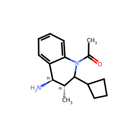 CC(=O)N1c2ccccc2[C@H](N)[C@@H](C)C1C1CCC1